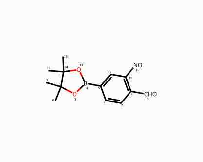 CC1(C)OB(c2ccc(C=O)c(N=O)c2)OC1(C)C